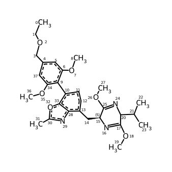 CCOCc1cc(OC)c(-c2ccc(C[C@@H]3N=C(OC)C(C(C)C)N=C3OC)c3nc(C)oc23)c(OC)c1